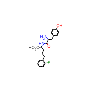 N[C@@H](Cc1ccc(O)cc1)C(=O)NC(CCCc1ccccc1F)C(=O)O